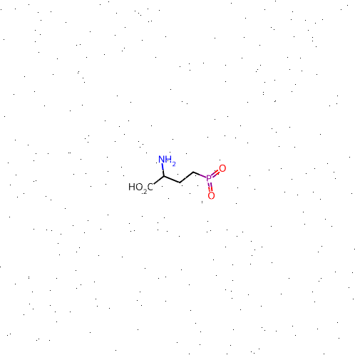 NC(CCP(=O)=O)C(=O)O